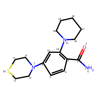 NC(=O)c1ccc(N2CCSCC2)cc1N1CCCCC1